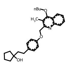 CCCCOc1c(C)c(COc2ccc(CCC3(O)CCCC3)cc2)nc2ccccc12